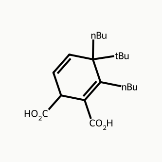 CCCCC1=C(C(=O)O)C(C(=O)O)C=CC1(CCCC)C(C)(C)C